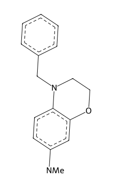 CNc1ccc2c(c1)OCCN2Cc1ccccc1